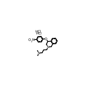 CN(C)CCCN1Cc2ccccc2C(Oc2ccc([N+](=O)[O-])cc2)C1.Cl.Cl